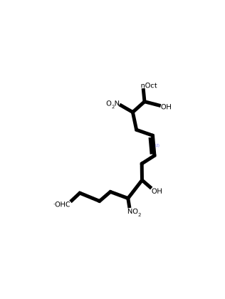 CCCCCCCCC(O)C(C/C=C\CC(O)C(CCC[C]=O)[N+](=O)[O-])[N+](=O)[O-]